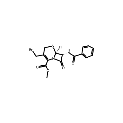 COC(=O)C1=C(CBr)CS[C@H]2[C@H](NC(=O)c3ccccc3)C(=O)N12